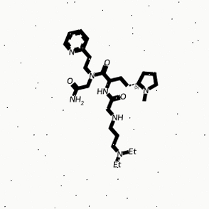 CCN(CC)CCCNCC(=O)NC(CC[C@@H]1CCCN1C)C(=O)N(CCc1ccccn1)CC(N)=O